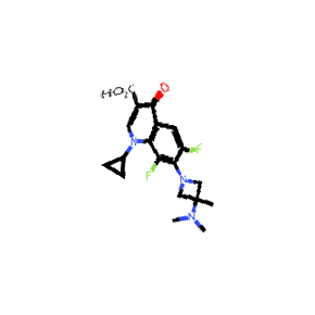 CN(C)C1(C)CN(c2c(F)cc3c(=O)c(C(=O)O)cn(C4CC4)c3c2F)C1